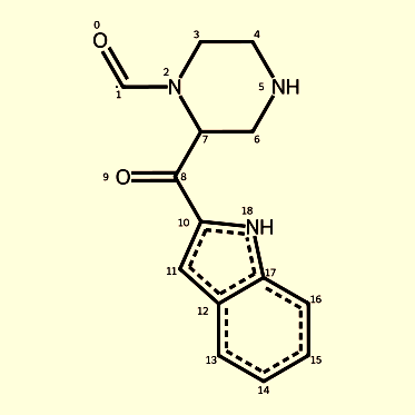 O=[C]N1CCNCC1C(=O)c1cc2ccccc2[nH]1